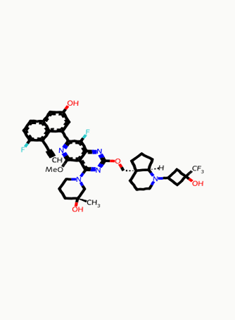 C#Cc1c(F)ccc2cc(O)cc(-c3nc(OC)c4c(N5CCC[C@@](C)(O)C5)nc(OC[C@]56CCC[C@H]5N(C5CC(O)(C(F)(F)F)C5)CCC6)nc4c3F)c12